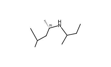 CCC(C)N[C@@H](C)CC(C)C